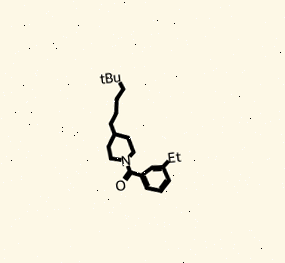 CCc1cccc(C(=O)N2CCC(CCCCC(C)(C)C)CC2)c1